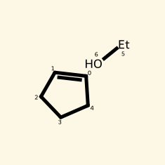 C1=CCCC1.CCO